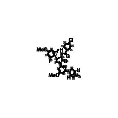 COc1cc(N2C[C@@H](c3c(F)cc(OC)cc3F)[C@H](NC(=O)c3ccc(Cl)cc3)C2=O)nc(N2C[C@@H]3C[C@H]2CN3C)c1